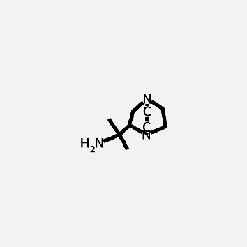 CC(C)(N)C1CN2CCN1CC2